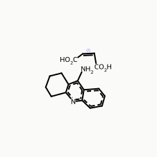 Nc1c2c(nc3ccccc13)CCCC2.O=C(O)/C=C\C(=O)O